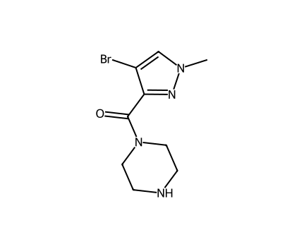 Cn1cc(Br)c(C(=O)N2CCNCC2)n1